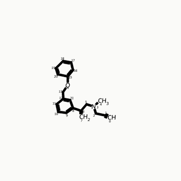 C#CCN(C)CC(=C)c1cccc(COc2ccccc2)c1